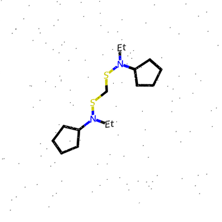 CCN(SCSN(CC)C1CCCC1)C1CCCC1